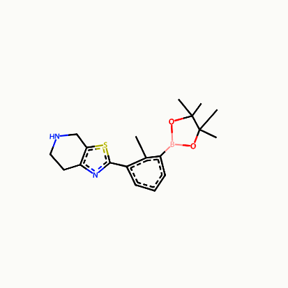 Cc1c(B2OC(C)(C)C(C)(C)O2)cccc1-c1nc2c(s1)CNCC2